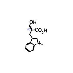 Cn1cc(C/C(=C/O)C(=O)O)c2ccccc21